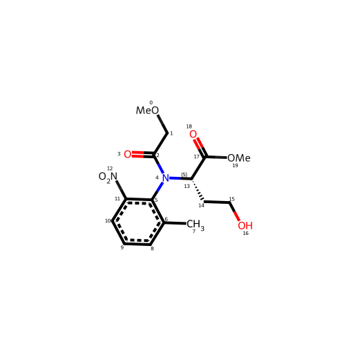 COCC(=O)N(c1c(C)cccc1[N+](=O)[O-])[C@@H](CCO)C(=O)OC